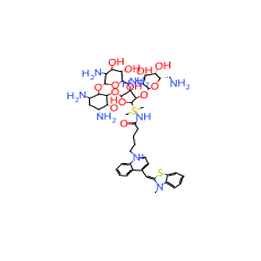 CN1/C(=C/c2cc[n+](CCCCC(=O)NS(C)(C)C3OC(OC4[C@H](O[C@H]5OC(CN)[C@@H](O)[C@H](O)C5N)C(N)C[C@@H](N)[C@H]4O)[C@@H](O)[C@H]3O[C@H]3O[C@@H](CN)[C@@H](O)C(O)C3N)c3ccccc23)Sc2ccccc21